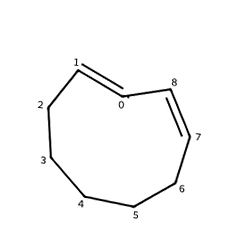 [C]1=C/CCCCC\C=C/1